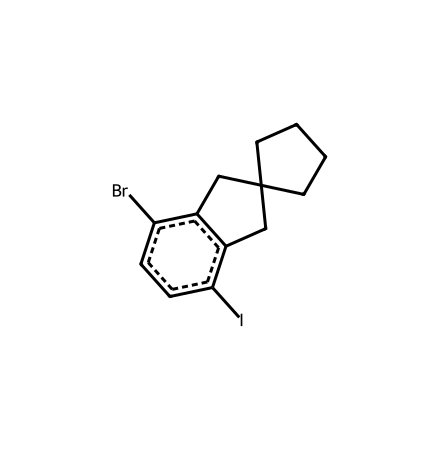 Brc1ccc(I)c2c1CC1(CCCC1)C2